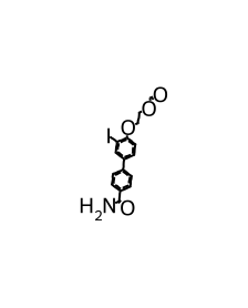 NC(=O)c1ccc(-c2ccc(OCCOC=O)c(I)c2)cc1